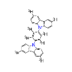 [2H]c1ccc2c(c1)c1cc([2H])ccc1n2-c1c([2H])c([2H])c(-n2c3ccc([2H])cc3c3cc([2H])ccc32)c([2H])c1[2H]